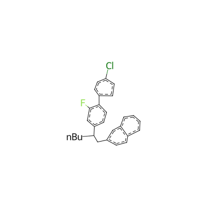 CCCCC(Cc1ccc2ccccc2c1)c1ccc(-c2ccc(Cl)cc2)c(F)c1